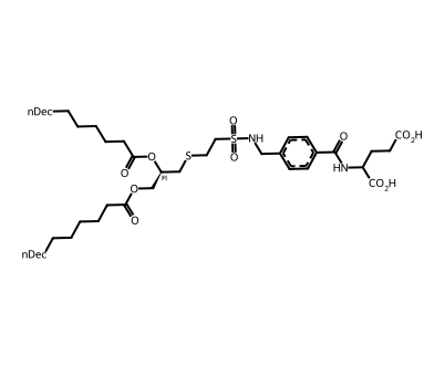 CCCCCCCCCCCCCCCC(=O)OC[C@H](CSCCS(=O)(=O)NCc1ccc(C(=O)NC(CCC(=O)O)C(=O)O)cc1)OC(=O)CCCCCCCCCCCCCCC